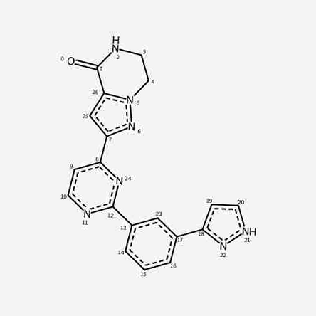 O=C1NCCn2nc(-c3ccnc(-c4cccc(-c5cc[nH]n5)c4)n3)cc21